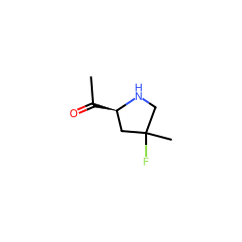 CC(=O)[C@@H]1CC(C)(F)CN1